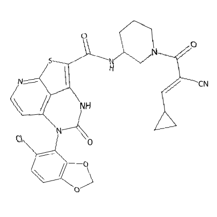 N#CC(=CC1CC1)C(=O)N1CCCC(NC(=O)c2sc3nccc4c3c2NC(=O)N4c2c(Cl)ccc3c2OCO3)C1